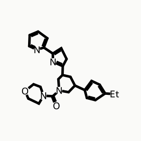 CCc1ccc(C2CC(C3=NC(c4ccccn4)=CC3)CN(C(=O)N3CCOCC3)C2)cc1